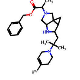 CC(C)C1=CCN(C(C)(C)CC2NC3CN(C(C)C(=O)OCc4ccccc4)CC34CC24)CC1